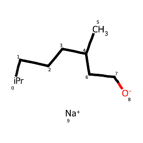 CC(C)CCCC(C)CC[O-].[Na+]